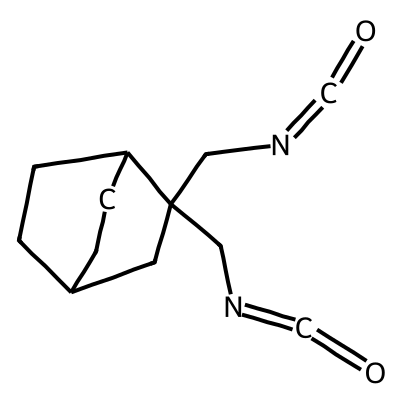 O=C=NCC1(CN=C=O)CC2CCC1CC2